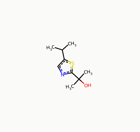 CC(C)c1cnc(C(C)(C)O)s1